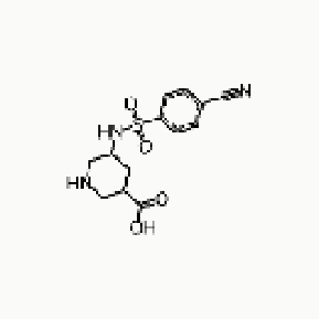 N#Cc1ccc(S(=O)(=O)NC2CNCC(C(=O)O)C2)cc1